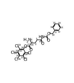 N[C@@H](CCC(=O)NC(=O)OCc1ccccc1)C(=O)Oc1c(Cl)c(Cl)c(Cl)c(Cl)c1Cl